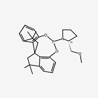 COC[C@H]1CCCN1P1Oc2cccc3c2C2(CC3(C)C)CC(C)(C)c3cccc(c32)O1